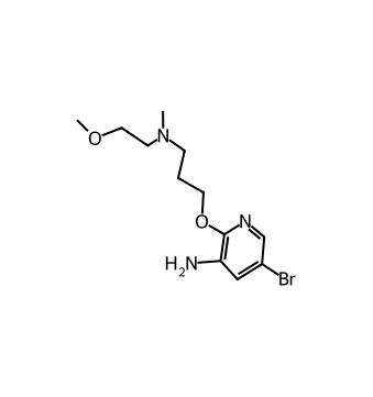 COCCN(C)CCCOc1ncc(Br)cc1N